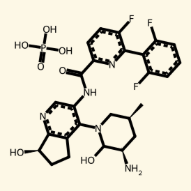 C[C@H]1C[C@@H](N)C(O)N(c2c(NC(=O)c3ccc(F)c(-c4c(F)cccc4F)n3)cnc3c2CC[C@H]3O)C1.O=P(O)(O)O